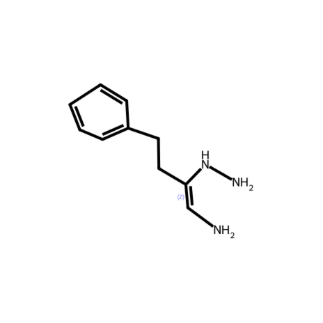 N/C=C(/CCc1ccccc1)NN